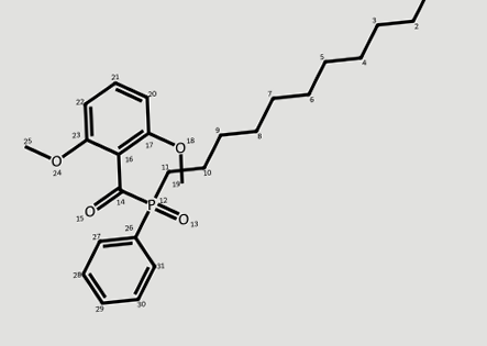 CCCCCCCCCCCCP(=O)(C(=O)c1c(OC)cccc1OC)c1ccccc1